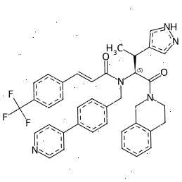 CC(c1cn[nH]c1)[C@@H](C(=O)N1CCc2ccccc2C1)N(Cc1ccc(-c2ccncc2)cc1)C(=O)C=Cc1ccc(C(F)(F)F)cc1